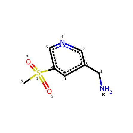 CS(=O)(=O)c1cncc(CN)c1